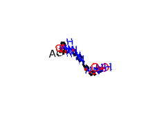 CC(=O)c1c(C)c2cnc(Nc3ccc(N4CCN(CCC5CCN(c6ccc(C)c(N7CCC(=O)NC7=O)c6)CC5)CC4)cn3)nc2n(C2CCCC2)c1=O